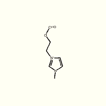 Cn1cc[n+](CCOC=O)c1